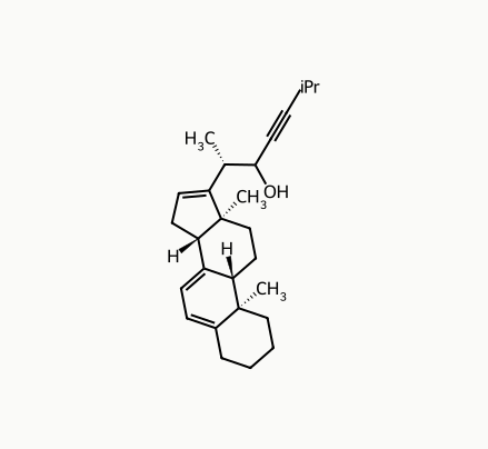 CC(C)C#CC(O)[C@@H](C)C1=CC[C@H]2C3=CC=C4CCCC[C@]4(C)[C@H]3CC[C@]12C